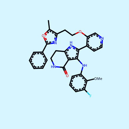 COc1c(F)cccc1Nc1c(-c2ccncc2OCCc2nc(-c3ccccc3)oc2C)[nH]c2c1C(=O)NCC2